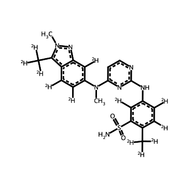 [2H]c1c([2H])c(C([2H])([2H])[2H])c(S(N)(=O)=O)c([2H])c1Nc1nccc(N(C)c2c([2H])c([2H])c3c(C([2H])([2H])[2H])n(C)nc3c2[2H])n1